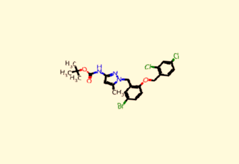 Cc1cc(NC(=O)OC(C)(C)C)nn1Cc1cc(Br)ccc1OCc1ccc(Cl)cc1Cl